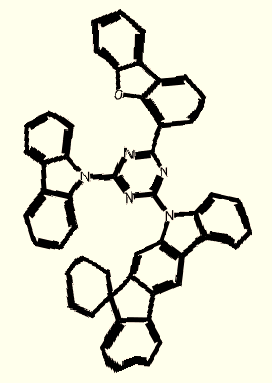 c1ccc2c(c1)-c1cc3c4ccccc4n(-c4nc(-c5cccc6c5oc5ccccc56)nc(-n5c6ccccc6c6ccccc65)n4)c3cc1C21CCCCC1